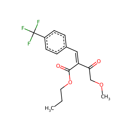 CCCOC(=O)C(=Cc1ccc(C(F)(F)F)cc1)C(=O)COC